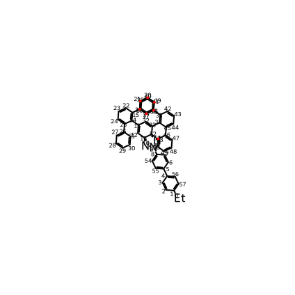 CCc1ccc(-c2ccc(-n3nc4cc(-c5c(-c6ccccc6)cccc5-c5ccccc5)cc(-c5c(-c6ccccc6)cccc5-c5ccccc5)c4n3)cc2)cc1